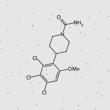 COc1cc(Cl)c(Cl)c(Cl)c1C1CCN(C(N)=O)CC1